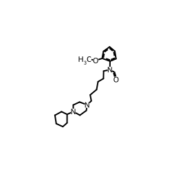 COc1ccccc1N(C=O)CCCCCCN1CCN(C2CCCCC2)CC1